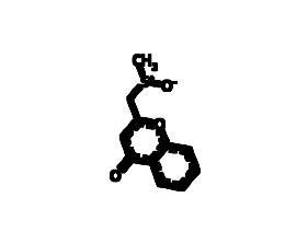 C[S+]([O-])Cc1cc(=O)c2ccccc2o1